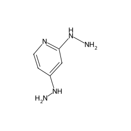 NNc1ccnc(NN)c1